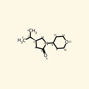 CC(C)[C@@H]1CC(=O)N(C2CCOCC2)C1